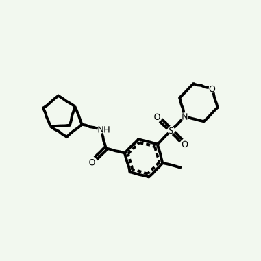 Cc1ccc(C(=O)NC2CC3CCC2C3)cc1S(=O)(=O)N1CCOCC1